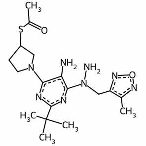 CC(=O)SC1CCN(c2nc(C(C)(C)C)nc(N(N)Cc3nonc3C)c2N)C1